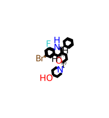 OC1CCN(C[C@H]2CC[C@@H]3[C@H](O2)c2cc(Br)cc(F)c2N[C@H]3C2C=CC=CC2)CC1